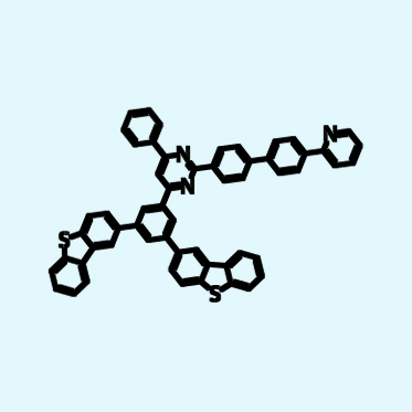 c1ccc(-c2cc(-c3cc(-c4ccc5sc6ccccc6c5c4)cc(-c4ccc5sc6ccccc6c5c4)c3)nc(-c3ccc(-c4ccc(-c5ccccn5)cc4)cc3)n2)cc1